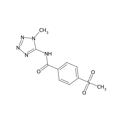 Cn1nnnc1NC(=O)c1ccc(S(C)(=O)=O)cc1